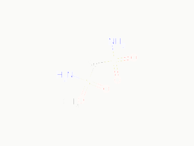 C.NS(=O)(=O)[Se]S(N)(=O)=O